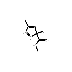 COC(=O)C1(C)C=C(C)N=N1